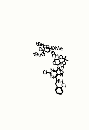 CO[P@](=O)(CP(=O)(OC(C)(C)C)OC(C)(C)C)OC[C@H]1O[C@@H](n2nnc3c(NCc4ccccc4Cl)nc(Cl)nc32)[C@@H]2OC(C)(C)O[C@@H]21